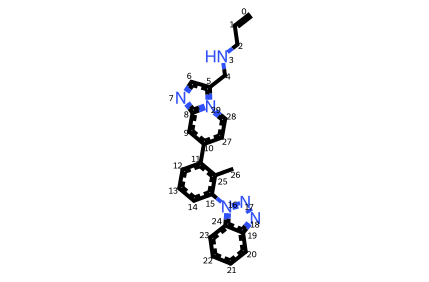 C=CCNCc1cnc2cc(-c3cccc(-n4nnc5ccccc54)c3C)ccn12